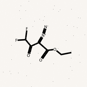 CCOC(=O)C(=[N+]=[N-])C(=O)C(F)F